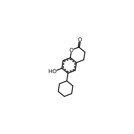 O=C1CCc2cc(C3CCCCC3)c(O)cc2O1